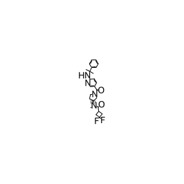 CN(C(=O)C1CC(F)(F)C1)[C@H]1CCN(C(=O)c2ccc(NC(C)(C)c3ccccc3)nc2)C1